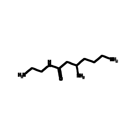 NCCCC(N)CC(=O)NCCN